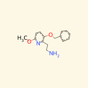 COc1ccc(OCc2ccccc2)c(CCN)n1